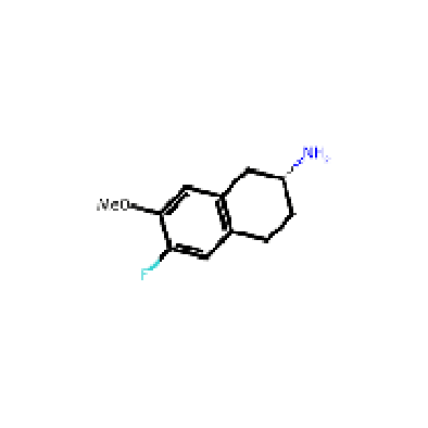 COc1cc2c(cc1F)CC[C@@H](N)C2